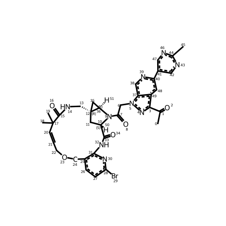 CC(=O)c1nn(CC(=O)N2[C@H]3C[C@@]4(CNC(=O)C(C)(C)C=CCOCc5ccc(Br)nc5NC3=O)C[C@@H]24)c2cnc(-c3cnc(C)nc3)cc12